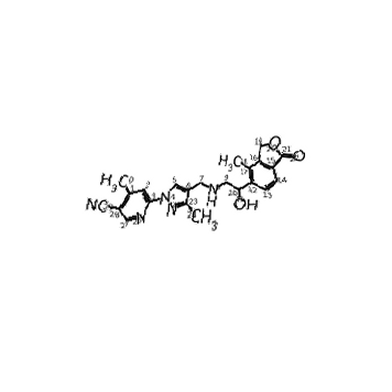 Cc1cc(-n2cc(CNCC(O)c3ccc4c(c3C)COC4=O)c(C)n2)ncc1C#N